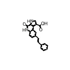 O=C(O)c1c[nH]c2c(=O)[nH]c3ccc(/C=C/c4ccccc4)cc3c12